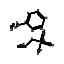 CCCCCCCCCCCS(=O)(=O)[O-].FC(F)(F)c1ccccc1.[K+]